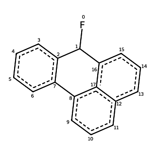 FC1c2ccccc2-c2cccc3cccc1c23